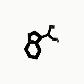 N#CC(N)c1cnn2ccccc12